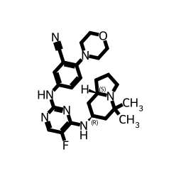 CC1(C)C[C@H](Nc2nc(Nc3ccc(N4CCOCC4)c(C#N)c3)ncc2F)C[C@@H]2CCCN21